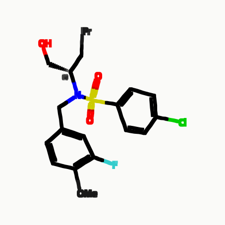 COc1ccc(CN([C@H](CO)CC(C)C)S(=O)(=O)c2ccc(Cl)cc2)cc1F